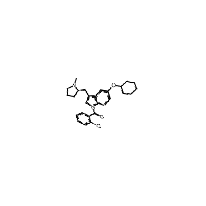 CN1CCC[C@@H]1Cc1cn(C(=O)c2ccccc2Cl)c2ccc(OC3CCCCC3)cc12